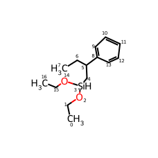 CCO[SiH](CC(CC)c1ccccc1)OCC